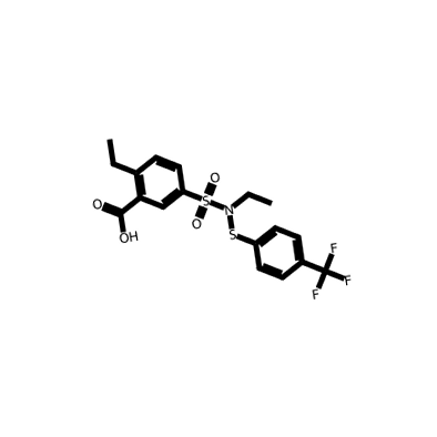 CCc1ccc(S(=O)(=O)N(CC)Sc2ccc(C(F)(F)F)cc2)cc1C(=O)O